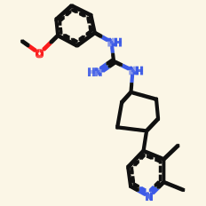 COc1cccc(NC(=N)NC2CCC(c3ccnc(C)c3C)CC2)c1